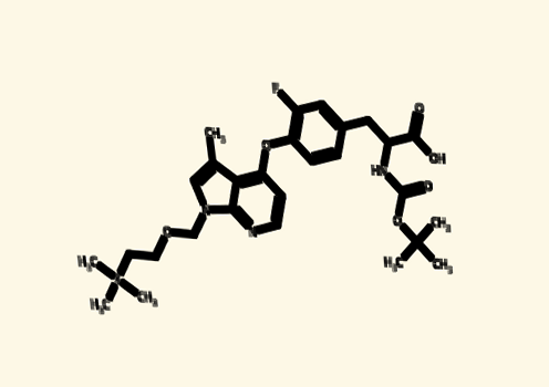 Cc1cn(COCCS(C)(C)C)c2nccc(Oc3ccc(CC(NC(=O)OC(C)(C)C)C(=O)O)cc3F)c12